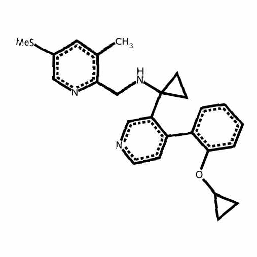 CSc1cnc(CNC2(c3cnccc3-c3ccccc3OC3CC3)CC2)c(C)c1